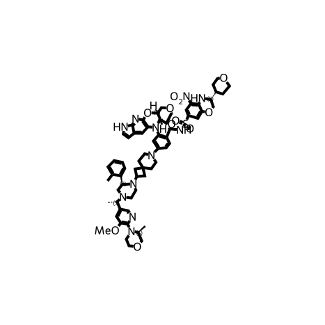 COc1cc([C@H](C)N2CCN(C3CC4(CCN(c5ccc(C(=O)NS(=O)(=O)c6cc7c(c([N+](=O)[O-])c6)N[C@H](C6CCOCC6)CO7)c(N6c7cc8cc[nH]c8nc7O[C@H]7COCC[C@@H]76)c5)CC4)C3)[C@H](c3ccccc3C)C2)cnc1N1CCOC[C@@H]1C